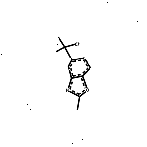 CCC(C)(C)c1ccc2oc(C)nc2c1